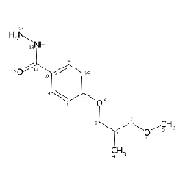 COCC(C)COc1ccc(C(=O)NN)cc1